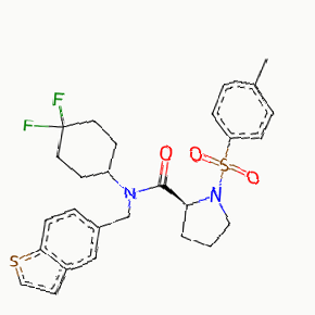 Cc1ccc(S(=O)(=O)N2CCC[C@H]2C(=O)N(Cc2ccc3sccc3c2)C2CCC(F)(F)CC2)cc1